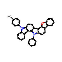 N#Cc1ccc(-n2c3ccccc3c3c2ccc2c4c5oc6ccccc6c5ccc4n(-c4ccccc4)c23)cc1